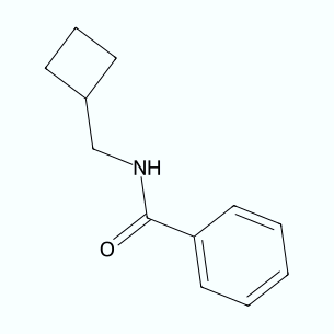 O=C(NCC1CCC1)c1ccccc1